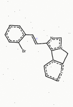 Brc1ccccc1/C=C/c1ncn2c1-c1ccccc1C2